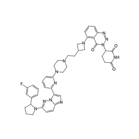 O=C1CCC(n2nnc3cccc(N4CC(CCN5CCN(c6cccc(-c7cnc8ccc(N9CCCC9c9cccc(F)c9)nn78)n6)CC5)C4)c3c2=O)C(=O)N1